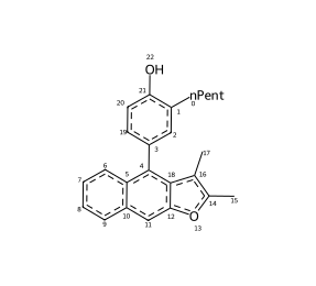 CCCCCc1cc(-c2c3ccccc3cc3oc(C)c(C)c23)ccc1O